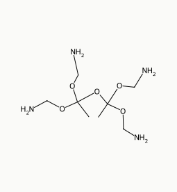 CC(OCN)(OCN)OC(C)(OCN)OCN